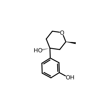 C[C@H]1C[C@@](O)(c2cccc(O)c2)CCO1